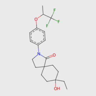 CCC1(O)CCC2(CCN(c3ccc(OC(C)C(F)(F)F)cc3)C2=O)CC1